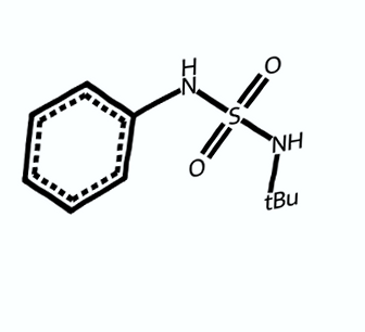 CC(C)(C)NS(=O)(=O)Nc1ccccc1